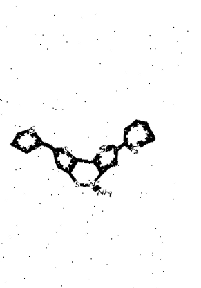 N=[N+]1Sc2cc(-c3cccs3)sc2-c2sc(-c3cccs3)cc21